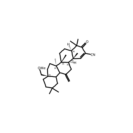 C=C1C[C@@H]2[C@@]3(C)C=C(C#N)C(=O)C(C)(C)[C@@H]3CC[C@@]2(C)[C@]2(C)CC[C@@]3(COC)CCC(C)(C)CC3C12